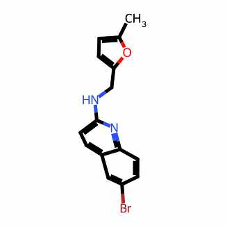 Cc1ccc(CNc2ccc3cc(Br)ccc3n2)o1